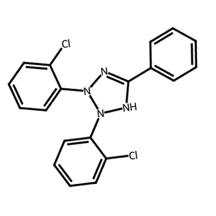 Clc1ccccc1N1N=C(c2ccccc2)NN1c1ccccc1Cl